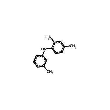 Cc1cccc(Nc2ccc(C)cc2N)c1